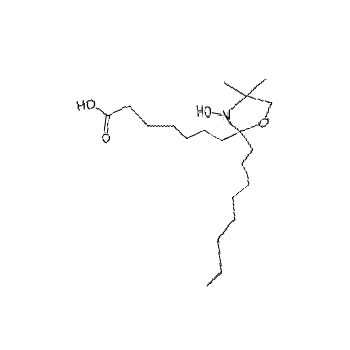 CCCCCCCCC1(CCCCCCC(=O)O)OCC(C)(C)N1O